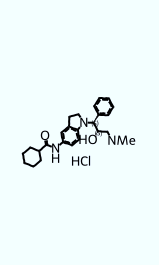 CNC[C@H](O)[C@H](c1ccccc1)N1CCc2cc(NC(=O)C3CCCCC3)ccc21.Cl